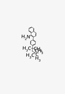 CC(C)(C)CC(C)(C)c1ccc(-c2ccc3ccccc3c2N)cc1